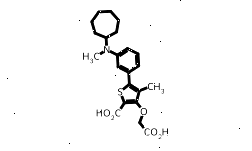 Cc1c(-c2cccc(N(C)C3CCCCCC3)c2)sc(C(=O)O)c1OCC(=O)O